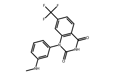 CNc1cccc(-n2c(=O)[nH]c(=O)c3ccc(C(F)(F)F)cc32)c1